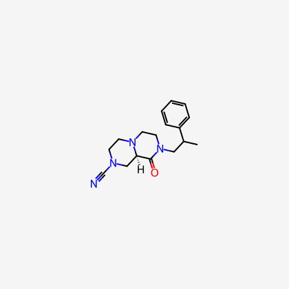 CC(CN1CCN2CCN(C#N)C[C@@H]2C1=O)c1ccccc1